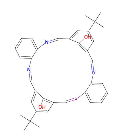 CC(C)(C)c1cc2cnc3ccccc3ncc3cc(C(C)(C)C)cc(cpc4ccccc4ncc(c1)c2O)c3O